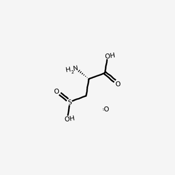 N[C@@H](CS(=O)O)C(=O)O.[O]